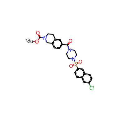 CC(C)(C)OC(=O)N1CCc2cc(C(=O)N3CCN(S(=O)(=O)c4ccc5cc(Cl)ccc5c4)CC3)ccc2C1